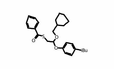 CCC(C)c1ccc(OC(CSC(=O)c2ccccc2)OCC2CCCCC2)cc1